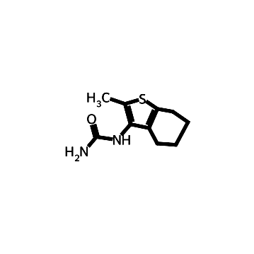 Cc1sc2c(c1NC(N)=O)CCCC2